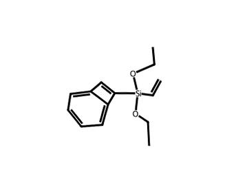 C=C[Si](OCC)(OCC)C1=Cc2ccccc21